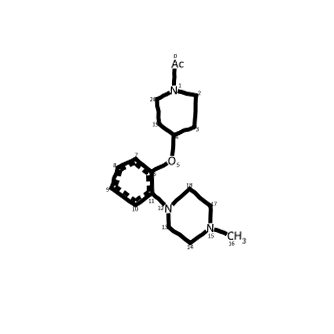 CC(=O)N1CCC(Oc2ccccc2N2CCN(C)CC2)CC1